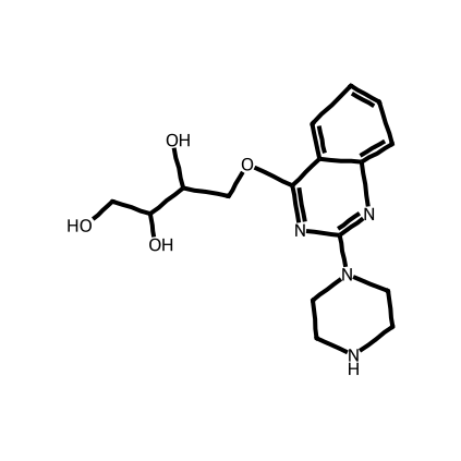 OCC(O)C(O)COc1nc(N2CCNCC2)nc2ccccc12